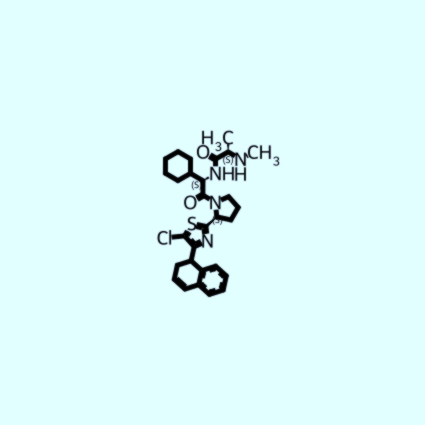 CN[C@@H](C)C(=O)N[C@H](C(=O)N1CCC[C@H]1c1nc(C2CC=Cc3ccccc32)c(Cl)s1)C1CCCCC1